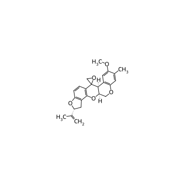 C=C(C)[C@H]1Cc2c(ccc3c2O[C@@H]2COc4cc(C)c(OC)cc4[C@@H]2C32CO2)O1